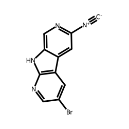 [C-]#[N+]c1cc2c(cn1)[nH]c1ncc(Br)cc12